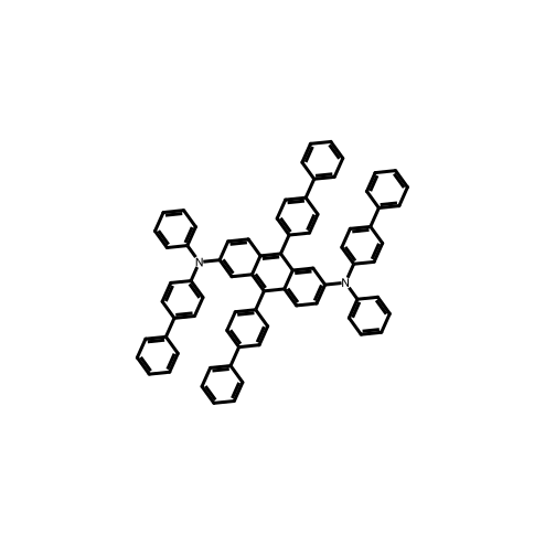 c1ccc(-c2ccc(-c3c4ccc(N(c5ccccc5)c5ccc(-c6ccccc6)cc5)cc4c(-c4ccc(-c5ccccc5)cc4)c4ccc(N(c5ccccc5)c5ccc(-c6ccccc6)cc5)cc34)cc2)cc1